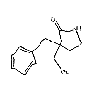 CCC1(Cc2ccccc2)CCNC1=O